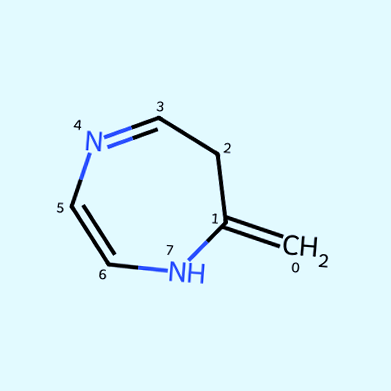 C=C1CC=NC=CN1